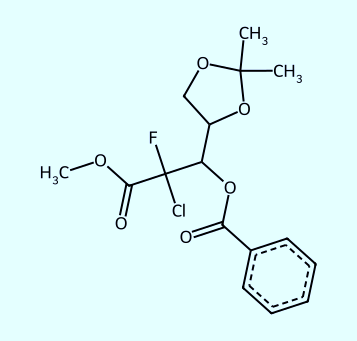 COC(=O)C(F)(Cl)C(OC(=O)c1ccccc1)C1COC(C)(C)O1